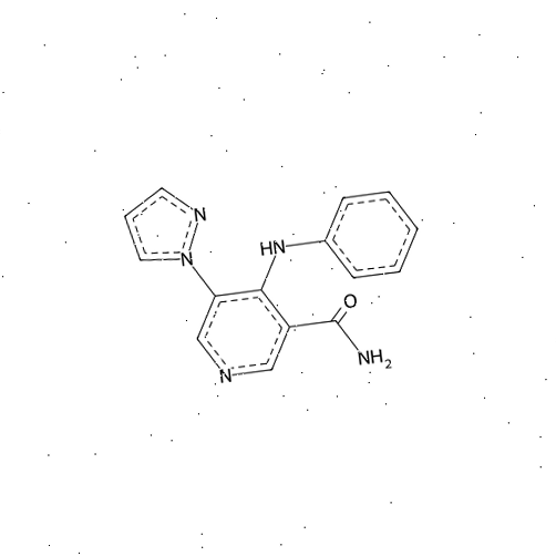 NC(=O)c1cncc(-n2cccn2)c1Nc1ccccc1